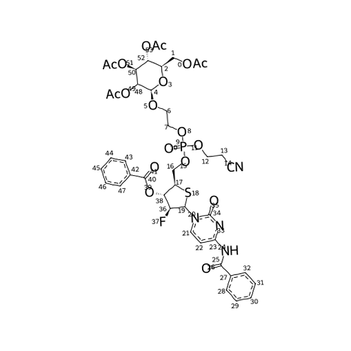 CC(=O)OC[C@H]1O[C@@H](OCCOP(=O)(OCCC#N)OC[C@H]2SC(n3ccc(NC(=O)c4ccccc4)nc3=O)[C@@H](F)[C@@H]2OC(=O)c2ccccc2)C(OC(C)=O)[C@@H](OC(C)=O)[C@@H]1OC(C)=O